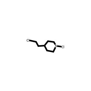 ClCCC1CCN(Cl)CC1